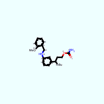 CCCCC(CCOC(N)=O)c1cccc(NCc2ccccc2OC)c1